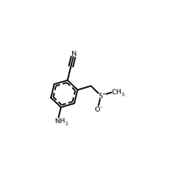 C[S+]([O-])Cc1cc(N)ccc1C#N